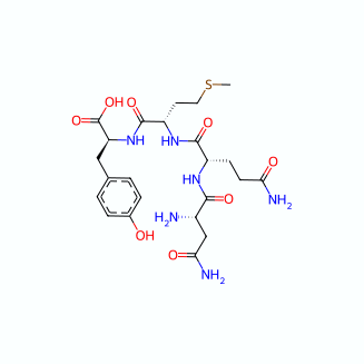 CSCC[C@H](NC(=O)[C@H](CCC(N)=O)NC(=O)[C@@H](N)CC(N)=O)C(=O)N[C@@H](Cc1ccc(O)cc1)C(=O)O